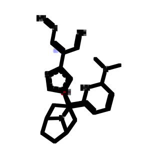 CN(C)C1C=CC=C(C2(O)CC3CCC(C2)N3C(=O)c2csc(/C(C=N)=C/N=N)c2)N1